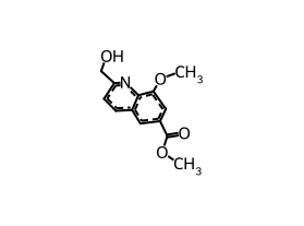 COC(=O)c1cc(OC)c2nc(CO)ccc2c1